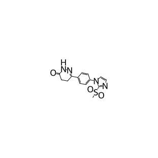 CS(=O)(=O)c1nccn1-c1ccc(C2=NNC(=O)CC2)cc1